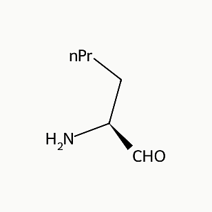 CCCC[C@H](N)C=O